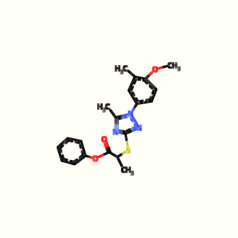 COc1ccc(-n2nc(SC(C)C(=O)Oc3ccccc3)nc2C)cc1C